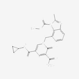 CNC(=O)c1cc(C(=O)NC2CC2)cn(Cc2cccc3nc(C)n(C(=O)OC(C)(C)C)c23)c1=O